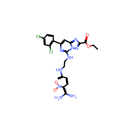 C=C(/C=C\C(=C(N)N)[N+](=O)[O-])NCCNc1nc(-c2ccc(Cl)cc2Cl)cc2nc(C(=O)OCC)nn12